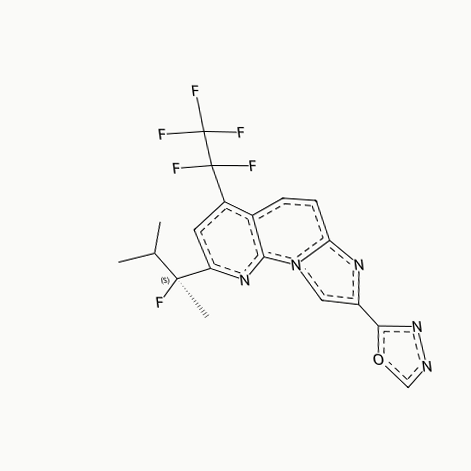 CC(C)[C@](C)(F)c1cc(C(F)(F)C(F)(F)F)c2ccc3nc(-c4nnco4)cn3c2n1